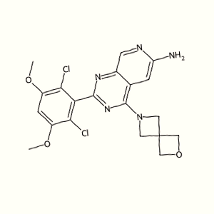 COc1cc(OC)c(Cl)c(-c2nc(N3CC4(COC4)C3)c3cc(N)ncc3n2)c1Cl